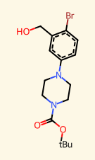 CC(C)(C)OC(=O)N1CCN(c2ccc(Br)c(CO)c2)CC1